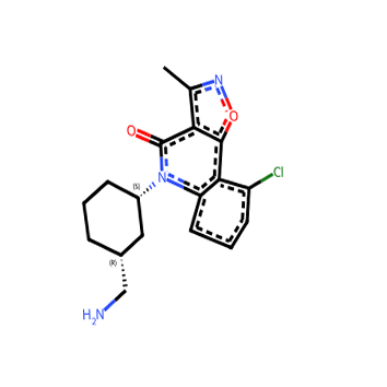 Cc1noc2c1c(=O)n([C@H]1CCC[C@@H](CN)C1)c1cccc(Cl)c21